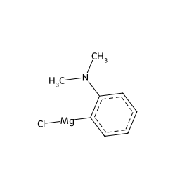 CN(C)c1cccc[c]1[Mg][Cl]